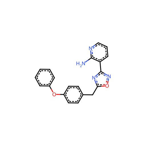 Nc1ncccc1-c1noc(Cc2ccc(Oc3ccccc3)cc2)n1